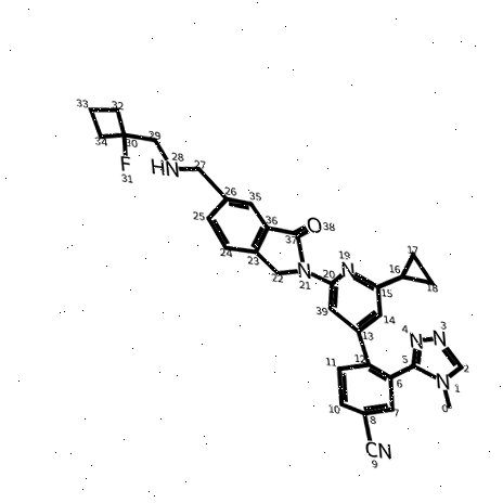 Cn1cnnc1-c1cc(C#N)ccc1-c1cc(C2CC2)nc(N2Cc3ccc(CNCC4(F)CCC4)cc3C2=O)c1